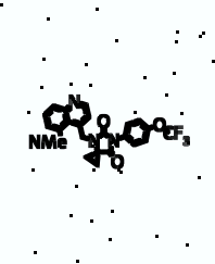 CNc1cccc2nccc(CN3C(=O)N(c4ccc(OC(F)(F)F)cc4)C(=O)C34CC4)c12